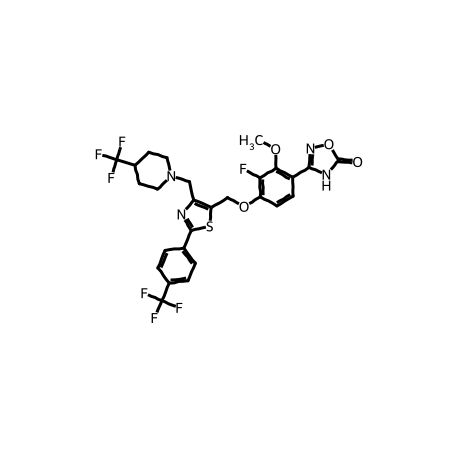 COc1c(-c2noc(=O)[nH]2)ccc(OCc2sc(-c3ccc(C(F)(F)F)cc3)nc2CN2CCC(C(F)(F)F)CC2)c1F